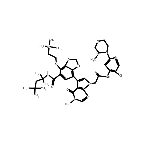 C[C@H]1COCCN1c1cc(NC(=O)Cn2cc(-c3cc(C(=O)NC(C)(C)CC(C)(C)C)c(OCC[Si](C)(C)C)c4c3OCO4)c3c(=O)n(C)cnc32)c(Cl)cn1